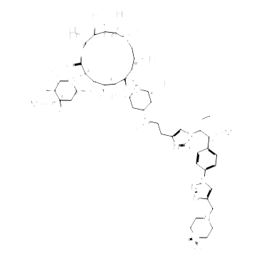 CC[C@H]1OC(=O)[C@H](C)[C@@H](O[C@H]2C[C@@](C)(OC)[C@@H](O)[C@H](C)O2)[C@H](C)[C@@H](O[C@H]2C[C@@H](N(C)CCc3cn([C@H](CF)[C@H](OC)c4ccc(-n5cc(CN6CCS(=O)(=O)CC6)nn5)cc4)nn3)C[C@@H](C)O2)[C@](C)(O)C[C@@H](C)CN(C)[C@H](C)[C@@H](O)[C@]1(C)O